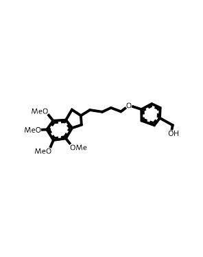 COc1c2c(c(OC)c(OC)c1OC)CC(CCCCOc1ccc(CO)cc1)C2